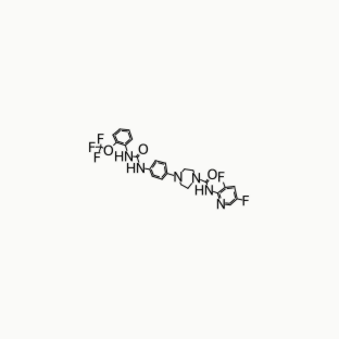 O=C(Nc1ccc(N2CCN(C(=O)Nc3ncc(F)cc3F)CC2)cc1)Nc1ccccc1OC(F)(F)F